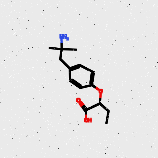 CCC(Oc1ccc(CC(C)(C)N)cc1)C(=O)O